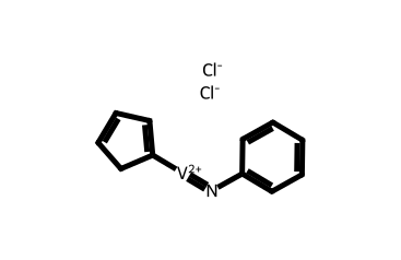 C1=CC[C]([V+2]=[N]c2ccccc2)=C1.[Cl-].[Cl-]